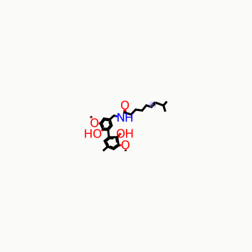 COc1cc(C)cc(-c2cc(CNC(=O)CCCC/C=C/C(C)C)cc(OC)c2O)c1O